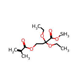 C=C(C)C(=O)OCCC(OCC)(OCC)C(=O)O[SiH3]